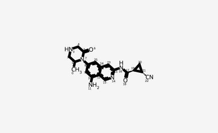 CC1CNCC(=O)N1c1cc(N)c2cnc(NC(=O)[C@H]3C[C@@H]3C#N)cc2c1